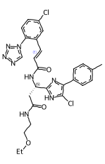 CCOCCNC(=O)C[C@H](NC(=O)/C=C/c1cc(Cl)ccc1-n1cnnn1)c1nc(-c2ccc(C)cc2)c(Cl)[nH]1